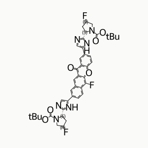 CC(C)(C)OC(=O)N1C[C@H](F)C[C@H]1c1ncc(-c2ccc3c(F)c4oc5ccc(-c6cnc([C@@H]7C[C@@H](F)CN7C(=O)OC(C)(C)C)[nH]6)cc5c(=O)c4cc3c2)[nH]1